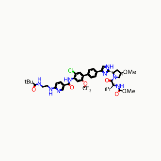 COC(=O)N[C@H](C(=O)N1C[C@H](OC)C[C@H]1c1nc(-c2ccc(-c3cc(Cl)c(NC(=O)c4ccc(NCCNC(=O)C(C)(C)C)nc4)cc3OC(F)(F)F)cc2)c[nH]1)C(C)C